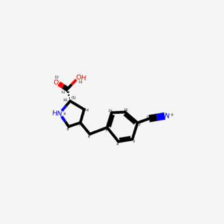 N#Cc1ccc(CC2CN[C@H](C(=O)O)C2)cc1